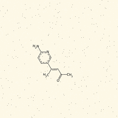 CC(=O)C=C(C)c1ccc(N)nc1